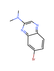 CN(C)c1cnc2ccc(Br)cc2n1